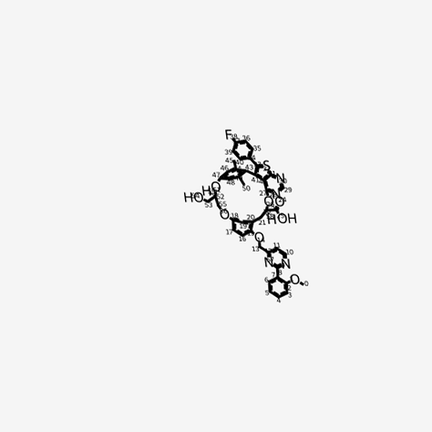 COc1ccccc1-c1nccc(COc2ccc3cc2C[C@H](C(=O)O)Oc2ncnc4sc(-c5ccc(F)cc5)c(c24)-c2c(C)cc(cc2C)O[C@H](CO)CO3)n1